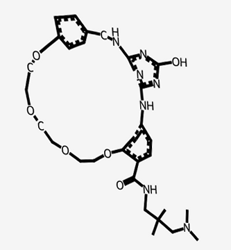 CN(C)CC(C)(C)CNC(=O)c1ccc2cc1OCCOCCOCCOc1ccc(cc1)CNc1nc(O)nc(n1)N2